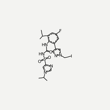 CC(C)c1cc(F)cc(-c2cnn(CI)c2)c1NC(=O)NS(=O)(=O)c1cn(C(C)C)cn1